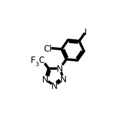 FC(F)(F)c1nnnn1-c1ccc(I)cc1Cl